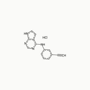 C#Cc1cccc(Nc2ncnc3[nH]ccc23)c1.Cl